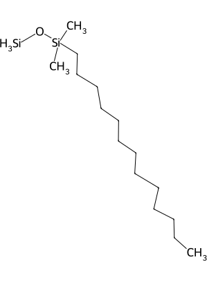 CCCCCCCCCCCCC[Si](C)(C)O[SiH3]